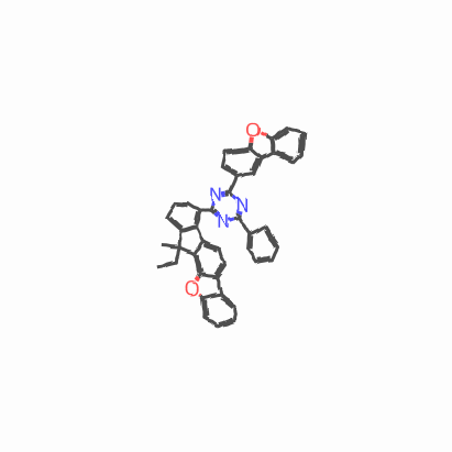 CCC1(C)c2cccc(-c3nc(-c4ccccc4)nc(-c4ccc5oc6ccccc6c5c4)n3)c2-c2ccc3c(oc4ccccc43)c21